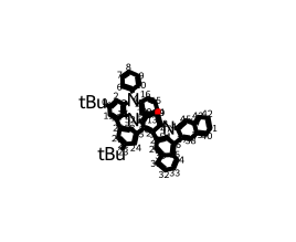 CC(C)(C)c1cc(N(c2ccccc2)c2ccccc2)c2c(c1)c1cc(C(C)(C)C)cc3c4c5c6cc7ccccc7c7c8cc9ccccc9cc8n(c5ccc4n2c13)c67